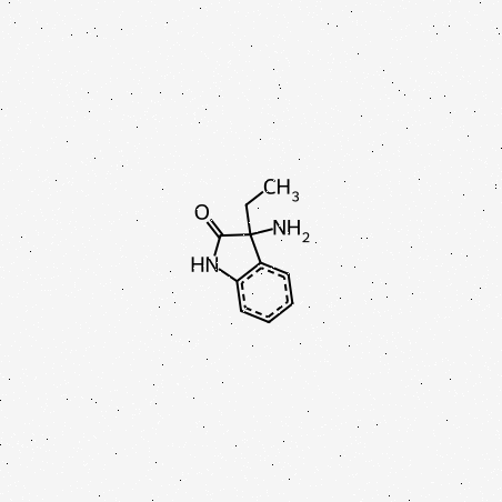 CCC1(N)C(=O)Nc2ccccc21